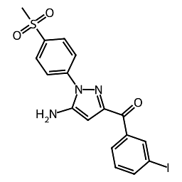 CS(=O)(=O)c1ccc(-n2nc(C(=O)c3cccc(I)c3)cc2N)cc1